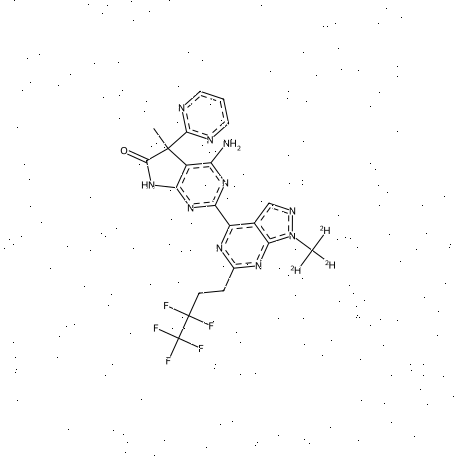 [2H]C([2H])([2H])n1ncc2c(-c3nc(N)c4c(n3)NC(=O)C4(C)c3ncccn3)nc(CCC(F)(F)C(F)(F)F)nc21